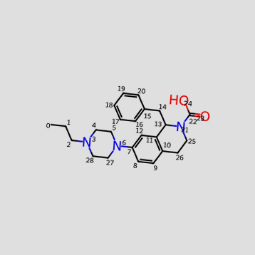 CCCN1CCN(c2ccc3c(c2)C(Cc2ccccc2)N(C(=O)O)CC3)CC1